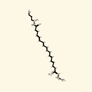 CC(=O)CCC[S+]([O-])NC(=O)CCCCCCCCCCCCCCCC/C(N)=N/NN